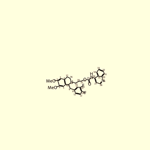 COc1cc2c(cc1OC)C(Cc1ccc(F)c(F)c1)N(CCCOC(=O)Nc1ccnc3ccccc13)CC2